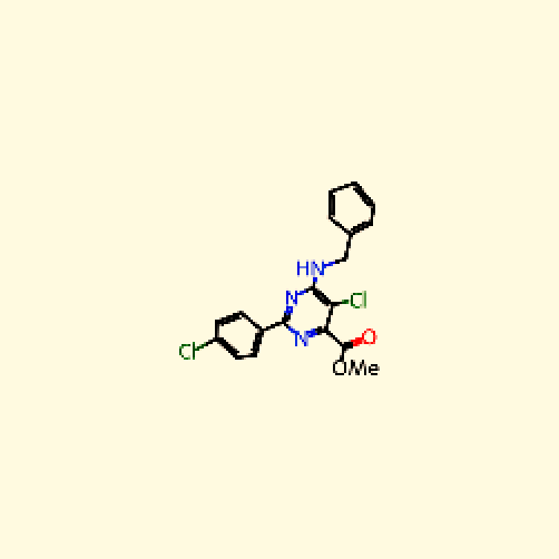 COC(=O)c1nc(-c2ccc(Cl)cc2)nc(NCc2ccccc2)c1Cl